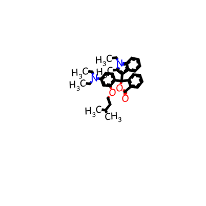 CCN(CC)c1ccc(C2(c3c(C)n(CC)c4ccccc34)OC(=O)c3ccccc32)c(OCCC(C)C)c1